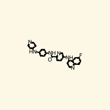 O=C(Nc1ccc(Nc2ccncc2)cc1)c1ccc(Nc2ccnc3ccc(F)cc23)cn1